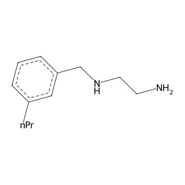 CCCc1cccc(CNCCN)c1